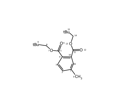 Cc1ccc(C(=O)OCC(C)(C)C)c(C(=O)OCC(C)(C)C)c1